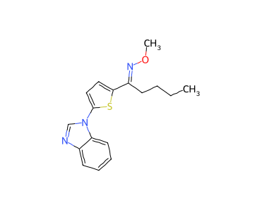 CCCCC(=NOC)c1ccc(-n2cnc3ccccc32)s1